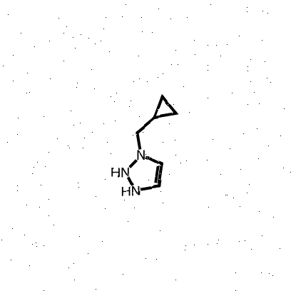 C1=CN(CC2CC2)NN1